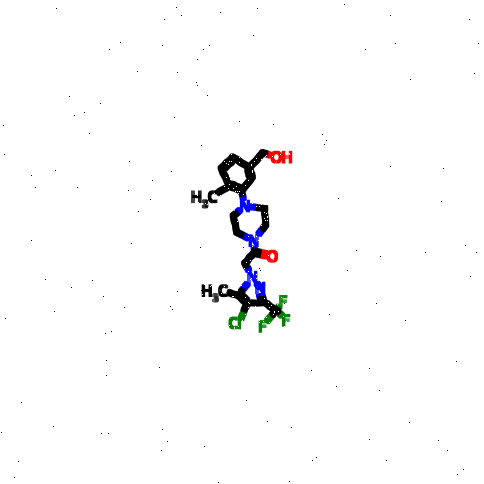 Cc1ccc(CO)cc1N1CCN(C(=O)Cn2nc(C(F)(F)F)c(Cl)c2C)CC1